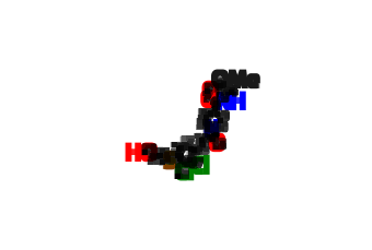 COC(=O)C(C)NC(=O)C1CCN(C(=O)C=Cc2ccc(SCCO)c(Cl)c2Cl)CC1